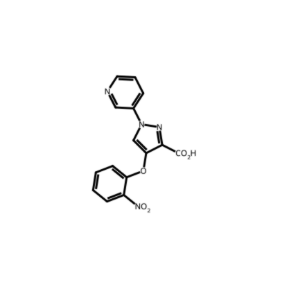 O=C(O)c1nn(-c2cccnc2)cc1Oc1ccccc1[N+](=O)[O-]